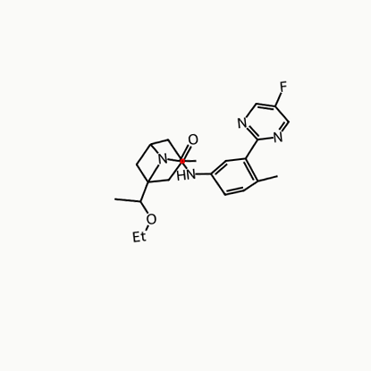 CCOC(C)C12CC(C)CC(C1)N2C(=O)Nc1ccc(C)c(-c2ncc(F)cn2)c1